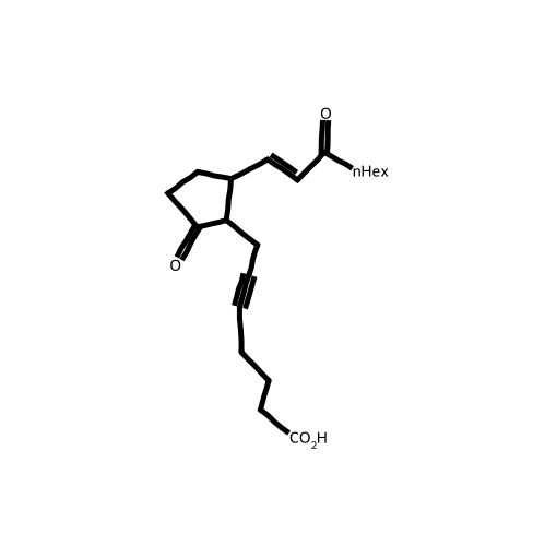 CCCCCCC(=O)/C=C/C1CCC(=O)C1CC#CCCCC(=O)O